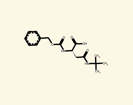 CC(C)(C)NC(=O)C[C@H](NC(=O)OCc1ccccc1)C(=O)O